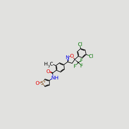 Cc1cc(C2=NO[C@@](c3cc(Cl)cc(Cl)c3)(C(F)(F)F)C2)ccc1C(=O)Nc1cc[s+]([O-])c1